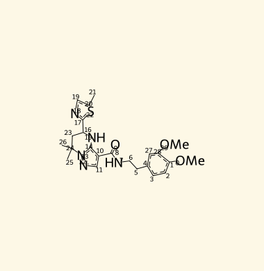 COc1ccc(CCNC(=O)c2cnn3c2NC(c2ncc(C)s2)CC3(C)C)cc1OC